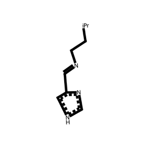 CC(C)CC/N=C/c1c[nH]cn1